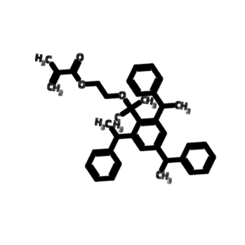 C=C(C)C(=O)OCCOC(C)(C)c1c(C(C)c2ccccc2)cc(C(C)c2ccccc2)cc1C(C)c1ccccc1